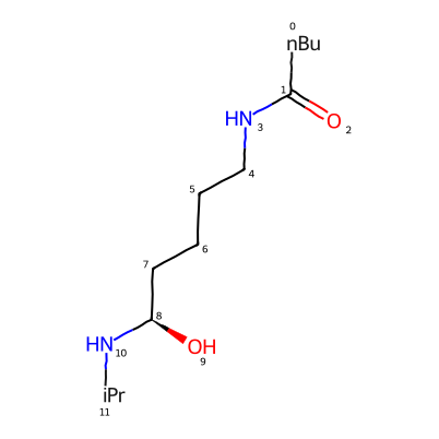 CCCCC(=O)NCCCC[C@@H](O)NC(C)C